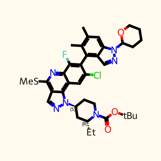 CC[C@@H]1C[C@@H](n2ncc3c(SC)nc4c(F)c(-c5c(C)c(C)cc6c5cnn6C5CCCCO5)c(Cl)cc4c32)CCN1C(=O)OC(C)(C)C